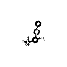 Nc1ccc(-c2noc(=O)[nH]2)cc1N1CCN(c2ccccc2)CC1